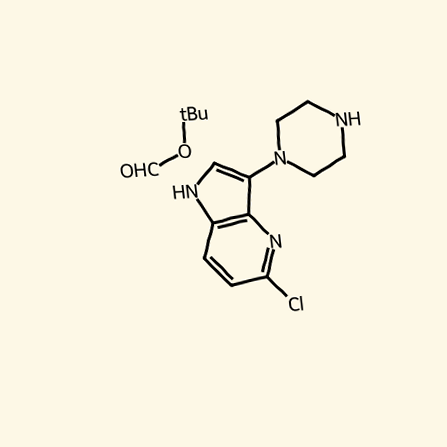 CC(C)(C)OC=O.Clc1ccc2[nH]cc(N3CCNCC3)c2n1